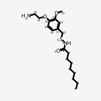 CCCCCCCCC(=O)NSCc1ccc(OCCN)c(OC)c1